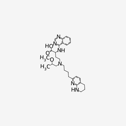 COC(C)CN(CCCCc1ccc2c(n1)NCCC2)CCC(Nc1ncnc2ccccc12)C(=O)O